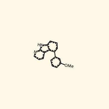 COc1cccc(-c2cccc3[nH]c4ncccc4c23)c1